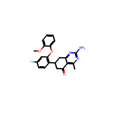 COc1ccccc1Oc1cc(F)ccc1C1CC(=O)c2c(C)nc(N)nc2C1